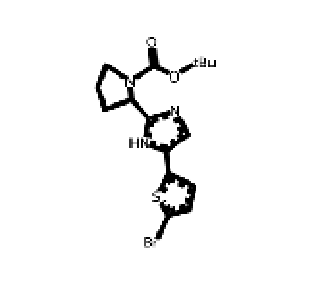 CC(C)(C)OC(=O)N1CCCC1c1ncc(-c2ccc(Br)s2)[nH]1